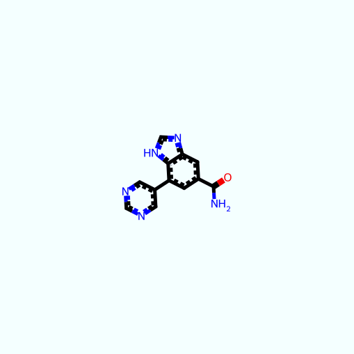 NC(=O)c1cc(-c2cncnc2)c2[nH]cnc2c1